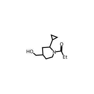 CCC(=O)N1CCC(CO)CC1C1CC1